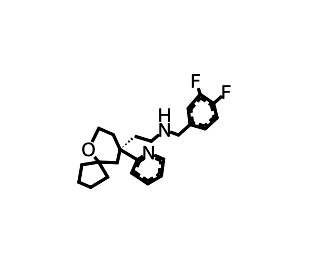 Fc1ccc(CNCC[C@@]2(c3ccccn3)CCOC3(CCCC3)C2)cc1F